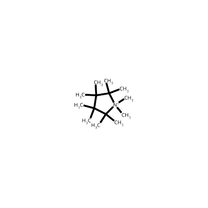 CC1(C)C(C)(C)C(C)(C)[N+](C)(C)C1(C)C